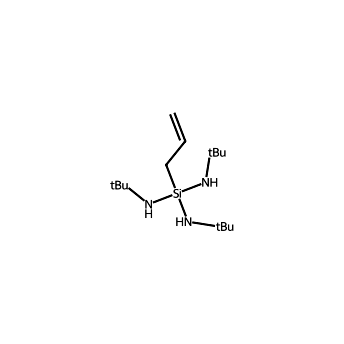 C=CC[Si](NC(C)(C)C)(NC(C)(C)C)NC(C)(C)C